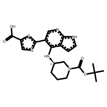 CC(C)(C)OC(=O)N1CCC[C@@H](Nc2c(-c3ncc(C(=O)O)s3)cnc3[nH]ccc23)C1